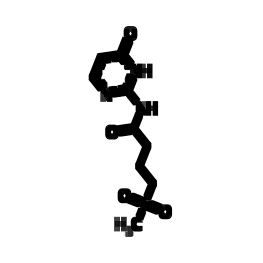 CS(=O)(=O)CCCC(=O)Nc1nccc(=O)[nH]1